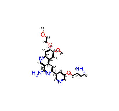 CC[C@@H](N)COc1cncc(-c2cc3c(cnc4cc(OCCOC)c(OC)cc43)c(N)n2)c1